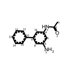 CC(=O)Nc1cc(N)cc(-c2ccccc2)c1